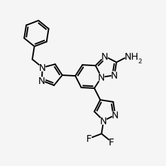 Nc1nc2cc(-c3cnn(Cc4ccccc4)c3)cc(-c3cnn(C(F)F)c3)n2n1